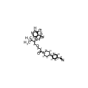 CC(C)C(COCCC(=O)N1CCN(c2ccc(C#N)cn2)CC1)Nc1cn[nH]c(=O)c1C(F)(F)F